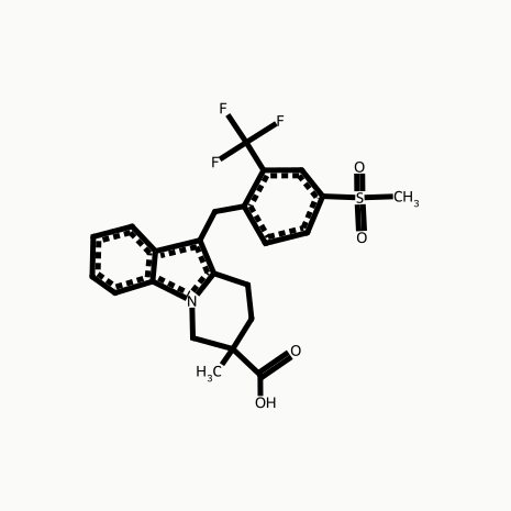 CC1(C(=O)O)CCc2c(Cc3ccc(S(C)(=O)=O)cc3C(F)(F)F)c3ccccc3n2C1